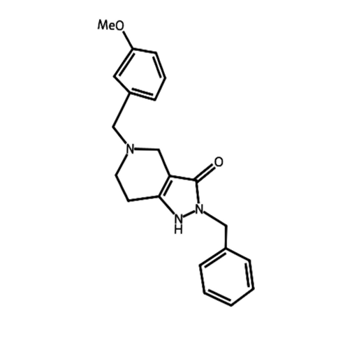 COc1cccc(CN2CCc3[nH]n(Cc4ccccc4)c(=O)c3C2)c1